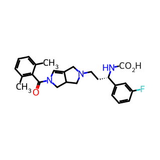 Cc1cccc(C)c1C(=O)N1C=C2CN(CC[C@H](NC(=O)O)c3cccc(F)c3)CC2C1